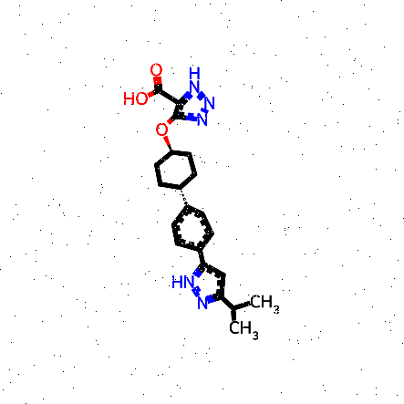 CC(C)c1cc(-c2ccc([C@H]3CC[C@H](Oc4nn[nH]c4C(=O)O)CC3)cc2)[nH]n1